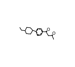 CCC1CCC(c2ccc(C(=O)CC(C)=O)cc2)CC1